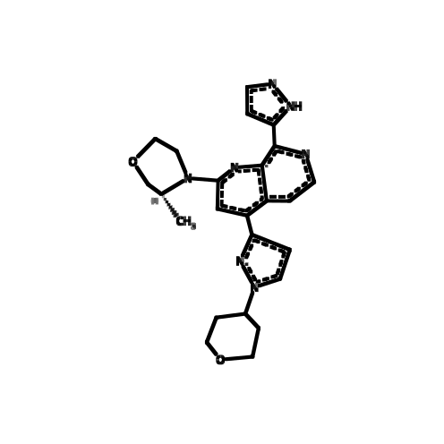 C[C@@H]1COCCN1c1cc(-c2ccn(C3CCOCC3)n2)c2ccnc(-c3ccn[nH]3)c2n1